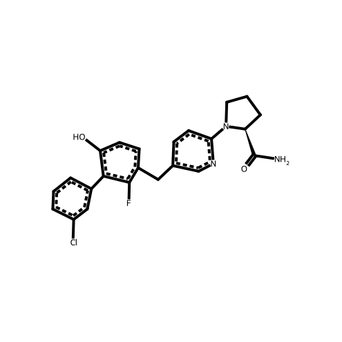 NC(=O)[C@@H]1CCCN1c1ccc(Cc2ccc(O)c(-c3cccc(Cl)c3)c2F)cn1